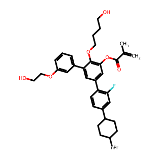 C=C(C)C(=O)Oc1cc(-c2ccc(C3CCC(CCC)CC3)cc2F)cc(-c2cccc(OCCO)c2)c1OCCCCO